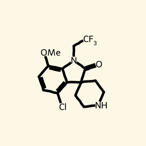 COc1ccc(Cl)c2c1N(CC(F)(F)F)C(=O)C21CCNCC1